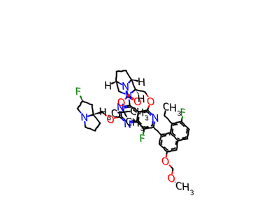 CCc1c(F)ccc2cc(OCOC)cc(-c3nc4c5c(nc(OC[C@@]67CCCN6C[C@@H](F)C7)nc5c3F)N3C[C@@H]5CC[C@H]([C@H]3CO4)N5C(=O)OC(C)(C)C)c12